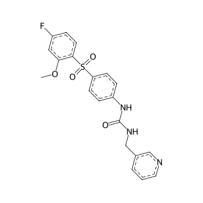 COc1cc(F)ccc1S(=O)(=O)c1ccc(NC(=O)NCc2cccnc2)cc1